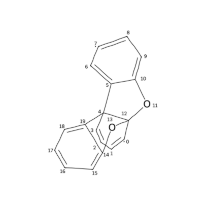 [C]1=CC=CC23c4c[c]ccc4OC12Oc1ccccc13